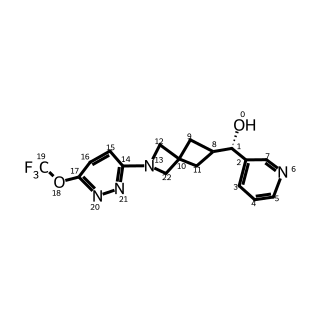 O[C@H](c1cccnc1)C1CC2(C1)CN(c1ccc(OC(F)(F)F)nn1)C2